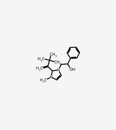 C=C(C1N(C)C=CN1CC(O)c1ccccc1)C(C)(C)C